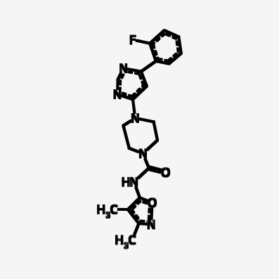 Cc1noc(NC(=O)N2CCN(c3cc(-c4ccccc4F)ncn3)CC2)c1C